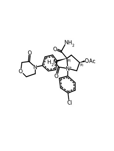 CC(=O)O[C@@H]1C[C@](C(N)=O)(c2ccc(N3CCOCC3=O)cc2)[N+](C(N)=O)(c2ccc(Cl)cc2)C1